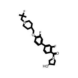 CC(C)(F)CN1CCC(COc2ccc(-c3ccc(C(=O)N4CC[C@@H](O)C4)c(F)c3)cc2F)CC1